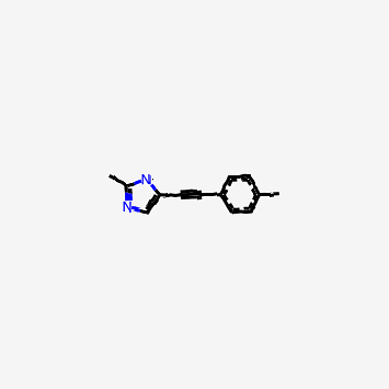 CC1=NC=C(C#Cc2ccc(C)cc2)[N]1